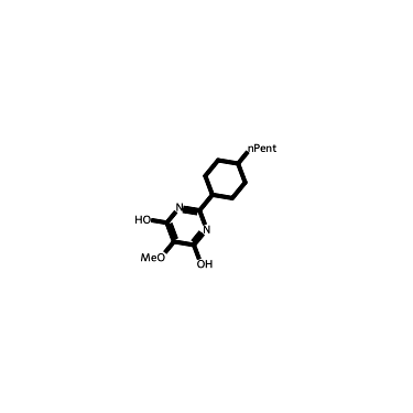 CCCCCC1CCC(c2nc(O)c(OC)c(O)n2)CC1